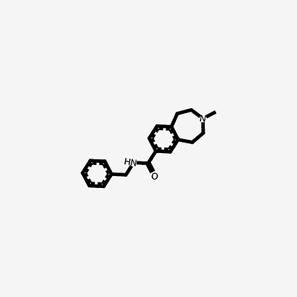 CN1CCc2ccc(C(=O)NCc3ccccc3)cc2CC1